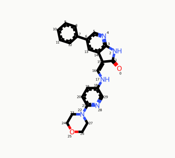 O=C1Nc2ncc(-c3ccccc3)cc2/C1=C/Nc1ccc(N2CCOCC2)nc1